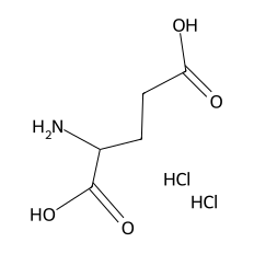 Cl.Cl.NC(CCC(=O)O)C(=O)O